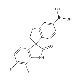 CC(C)CC1(c2ccc(B(O)O)cc2)C(=O)Nc2c1ccc(F)c2F